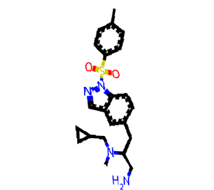 Cc1ccc(S(=O)(=O)n2ncc3cc(CC(CN)N(C)CC4CC4)ccc32)cc1